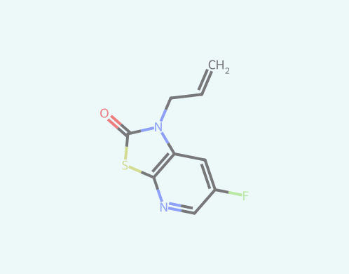 C=CCn1c(=O)sc2ncc(F)cc21